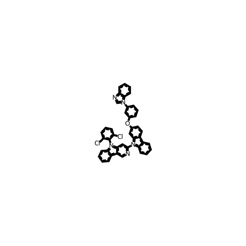 Clc1cccc(Cl)c1-n1c2ccccc2c2cnc(-n3c4ccccc4c4ccc(Oc5cccc(-n6cnc7ccccc76)c5)cc43)cc21